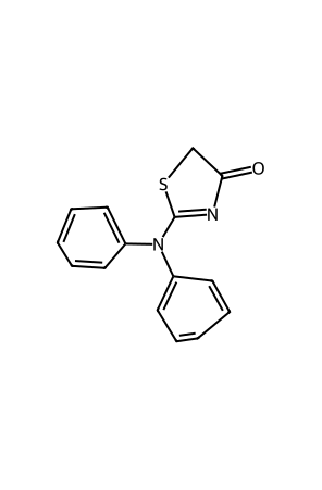 O=C1CSC(N(c2ccccc2)c2ccccc2)=N1